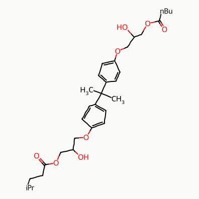 CCCCC(=O)OCC(O)COc1ccc(C(C)(C)c2ccc(OCC(O)COC(=O)CCC(C)C)cc2)cc1